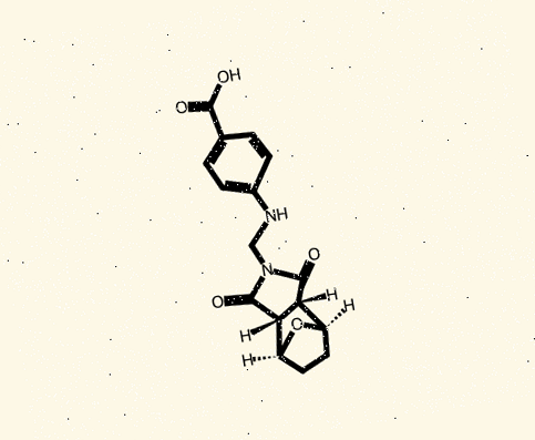 O=C(O)c1ccc(NCN2C(=O)[C@@H]3[C@H](C2=O)[C@H]2CC[C@@H]3O2)cc1